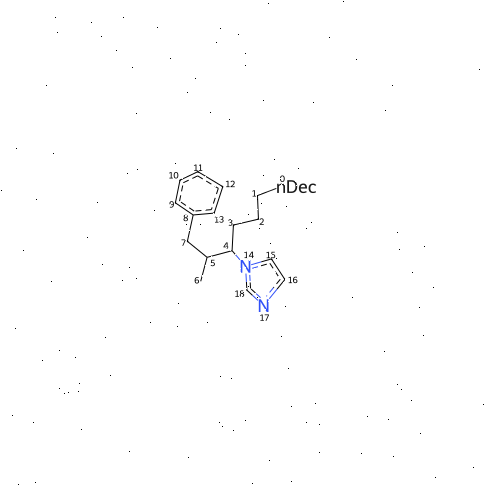 CCCCCCCCCCCCCC(C(C)Cc1ccccc1)n1ccnc1